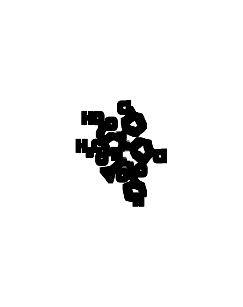 C[C@@]1(CC(=O)O)C[C@H](c2cccc(Cl)c2)[C@@H](c2ccc(Cl)cc2)N([C@H](CS(=O)(=O)c2ccncc2)C2CC2)C1=O